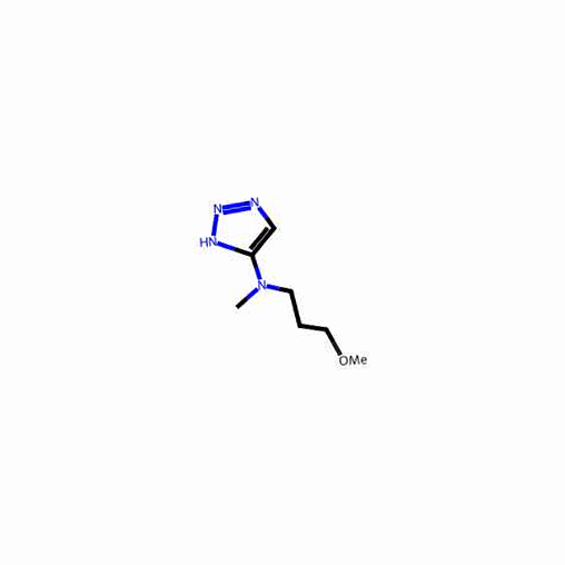 COCCCN(C)c1cnn[nH]1